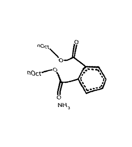 CCCCCCCCOC(=O)c1ccccc1C(=O)OCCCCCCCC.N